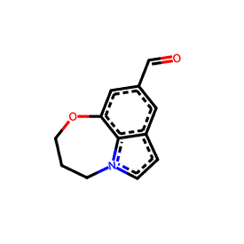 O=Cc1cc2c3c(ccn3CCCO2)c1